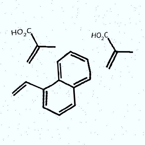 C=C(C)C(=O)O.C=C(C)C(=O)O.C=Cc1cccc2ccccc12